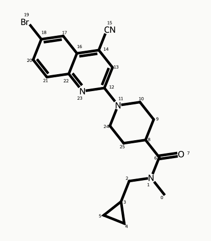 CN(CC1CC1)C(=O)C1CCN(c2cc(C#N)c3cc(Br)ccc3n2)CC1